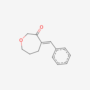 O=C1COCCC/C1=C\c1ccccc1